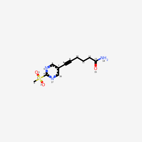 CS(=O)(=O)c1ncc(C#CCCCC(N)=O)cn1